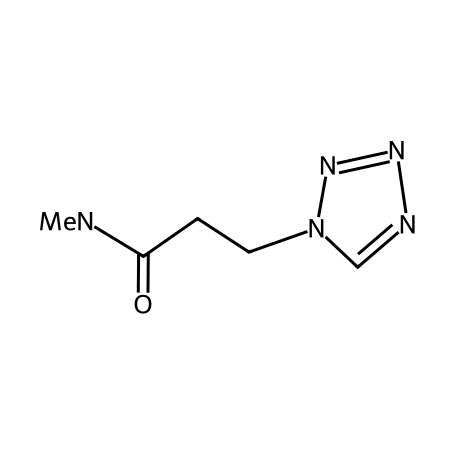 CNC(=O)CCn1cnnn1